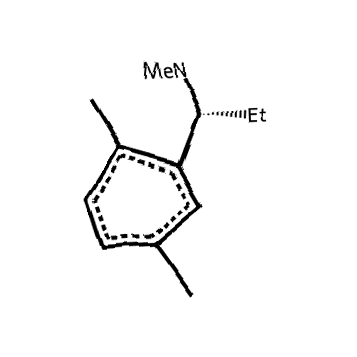 CC[C@@H](NC)c1cc(C)ccc1C